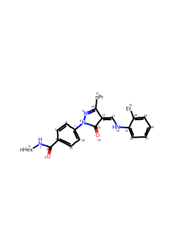 CCCCCCNC(=O)c1ccc(N2N=C(CCC)C(=CNc3ccccc3CC)C2=O)cc1